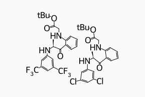 C[C@H](Nc1cc(C(F)(F)F)cc(C(F)(F)F)c1)C(=O)c1ccccc1NCC(=O)OC(C)(C)C.C[C@H](Nc1cc(Cl)cc(Cl)c1)C(=O)c1ccccc1NCC(=O)OC(C)(C)C